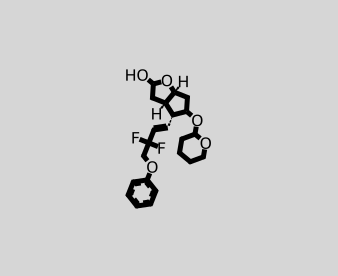 OC1C[C@H]2[C@H](CC(OC3CCCCO3)[C@@H]2/C=C/C(F)(F)COc2ccccc2)O1